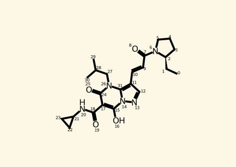 CC[C@@H]1CCCN1C(=O)/C=C/c1cnn2c(O)c(C(=O)NC3CC3)c(=O)n(CC(C)C)c12